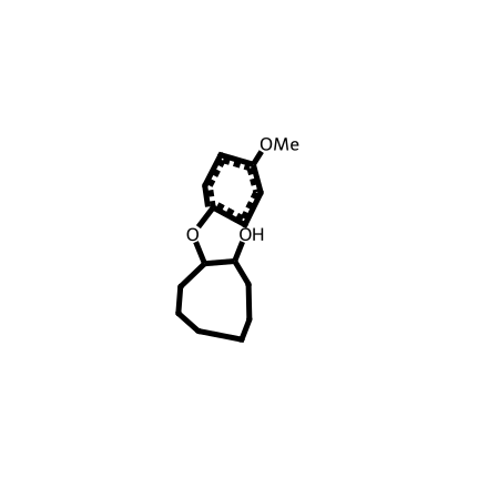 COc1ccc(OC2CCCCCCC2O)cc1